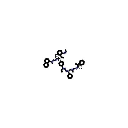 C=C/C(=C\C=C(/C/C(C)=C/C=c1/oc2ccccc2c1=C)c1ccccc1)c1ccc(N(C(=C)c2ccccc2/C=C\C)/C(=C/C=C(\C)c2cccc3ccccc23)CC)cc1